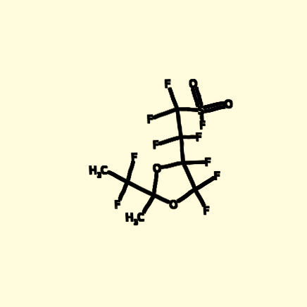 CC(F)(F)C1(C)OC(F)(F)C(F)(C(F)(F)C(F)(F)S(=O)(=O)F)O1